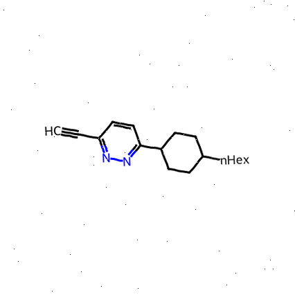 C#Cc1ccc(C2CCC(CCCCCC)CC2)nn1